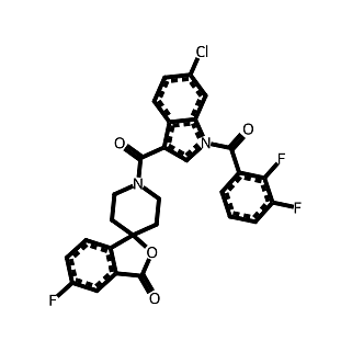 O=C1OC2(CCN(C(=O)c3cn(C(=O)c4cccc(F)c4F)c4cc(Cl)ccc34)CC2)c2ccc(F)cc21